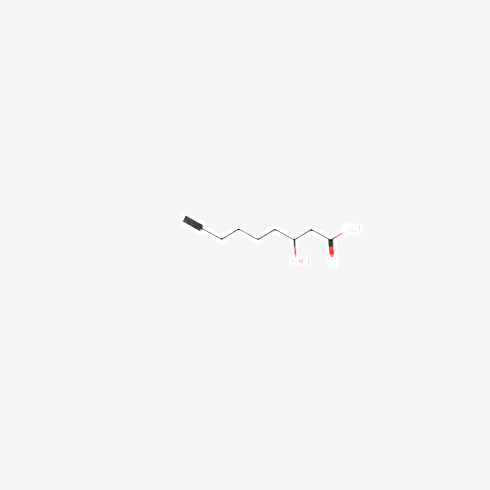 C#CCCCCC(O)CC(=O)O